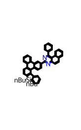 CCCC[Si]1(CCCC)c2ccccc2-c2c1ccc1c3ccccc3c3cc(-c4nc(-c5ccccc5)c5c(ccc6ccccc65)n4)ccc3c21